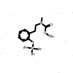 CC(C)[Si](Sc1ccccc1CCN(C)C(=O)OC(C)(C)C)(C(C)C)C(C)C